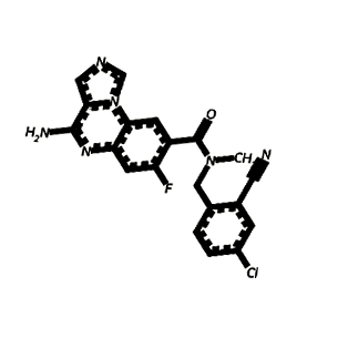 CN(Cc1ccc(Cl)cc1C#N)C(=O)c1cc2c(cc1F)nc(N)c1cncn12